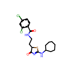 O=C(NCCC1SC(NC2CCCCCC2)=NC1=O)c1ccc(Cl)cc1Cl